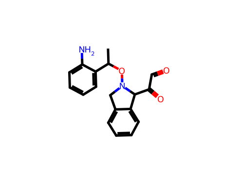 CC(ON1Cc2ccccc2C1C(=O)C=O)c1ccccc1N